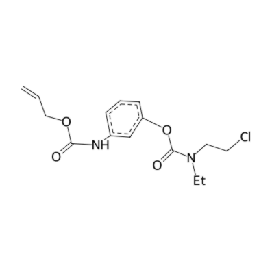 C=CCOC(=O)Nc1cccc(OC(=O)N(CC)CCCl)c1